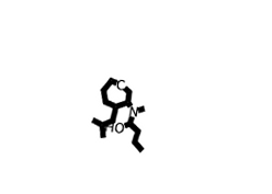 CCCC(O)N(C)C1CCCCCC1CC(C)C